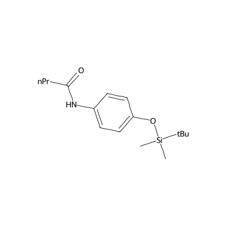 CCCC(=O)Nc1ccc(O[Si](C)(C)C(C)(C)C)cc1